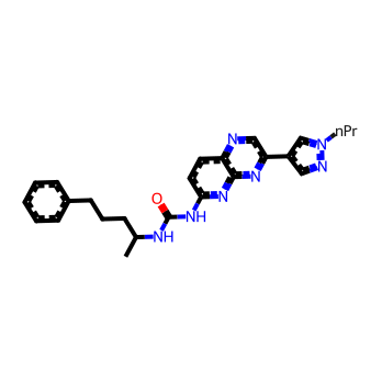 CCCn1cc(-c2cnc3ccc(NC(=O)NC(C)CCCc4ccccc4)nc3n2)cn1